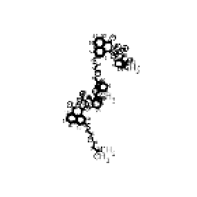 CC(C)CCOCCSc1cc2c3c(cccc3c1)C(=O)N(OS(=O)(=O)CC13CCC(CC1=O)C3(C)CC13CCC(C1)C(COCCSc1cc4c5c(cccc5c1)C(=O)N(OS(=O)(=O)CC15CCC(CC1=O)C5(C)C)C4=O)C3)C2=O